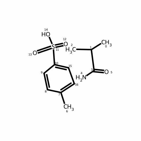 CC(C)C(N)=O.Cc1ccc(S(=O)(=O)O)cc1